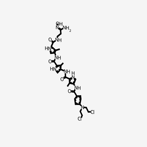 Cc1c(NC(=O)c2ccc(N(CCCl)CCCl)cc2)c[nH]c1C(=O)Nc1c[nH]c(C(=O)Nc2c[nH]c(C(=O)NCCC(N)=NO)c2C)c1C